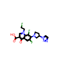 O=C(O)c1cn(CCF)c2c(F)c(N3CCC(n4ccnn4)C3)c(F)cc2c1=O